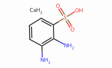 Nc1cccc(S(=O)(=O)O)c1N.[CaH2]